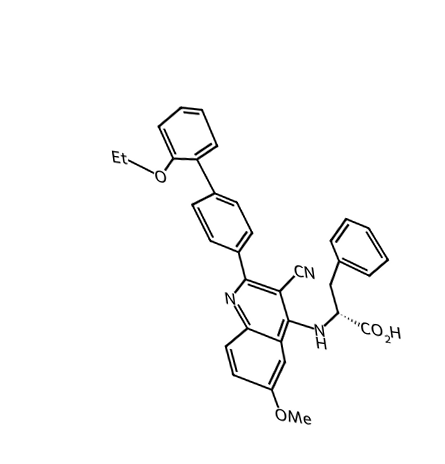 CCOc1ccccc1-c1ccc(-c2nc3ccc(OC)cc3c(N[C@H](Cc3ccccc3)C(=O)O)c2C#N)cc1